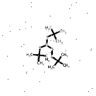 CC(C)(C)SSB(SC(C)(C)C)SC(C)(C)C